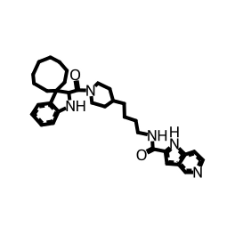 O=C(NCCCCC1CCN(C(=O)C2Nc3ccccc3C23CCCCCCCC3)CC1)c1cc2cnccc2[nH]1